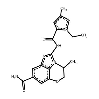 CCn1nc(C)cc1C(=O)Nc1nc2cc(C(N)=O)cc3c2n1C(C)CO3